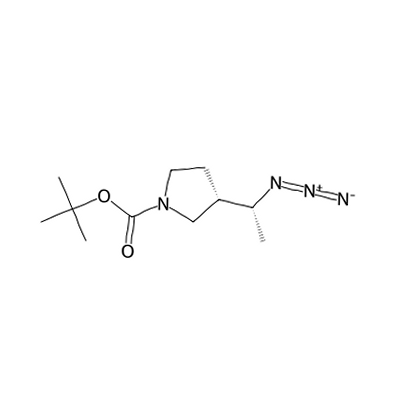 C[C@@H](N=[N+]=[N-])[C@H]1CCN(C(=O)OC(C)(C)C)C1